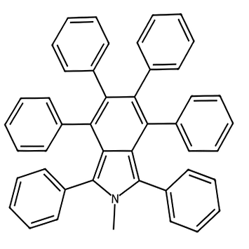 Cn1c(-c2ccccc2)c2c(-c3ccccc3)c(-c3ccccc3)c(-c3ccccc3)c(-c3ccccc3)c2c1-c1ccccc1